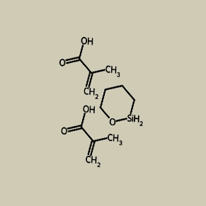 C1CC[SiH2]OC1.C=C(C)C(=O)O.C=C(C)C(=O)O